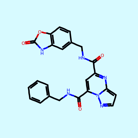 O=C(NCc1ccc2oc(=O)[nH]c2c1)c1cc(C(=O)NCc2ccccc2)n2nccc2n1